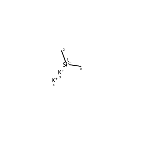 C[Si-2]C.[K+].[K+]